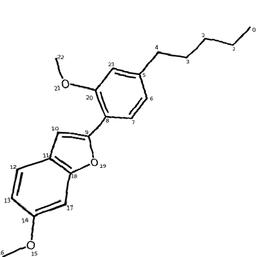 CCCCCc1ccc(-c2cc3ccc(OC)cc3o2)c(OC)c1